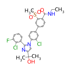 CCNC(=O)c1ccc(-c2ccc(-n3cc(C(C)(C)O)nc3-c3cccc(F)c3Cl)c(Cl)c2)cc1S(C)(=O)=O